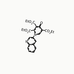 CCOC(=O)c1cn(-c2cnc3ccccc3c2)c(C(=O)OCC)c(C(=O)OCC)c1=O